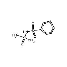 NP(N)(=S)NS(=O)(=O)c1ccccc1